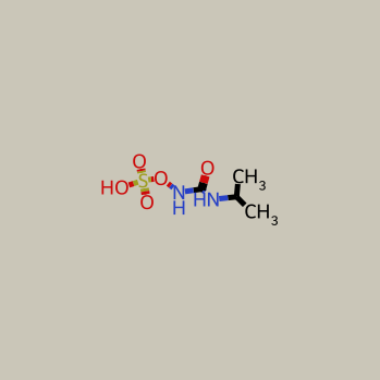 CC(C)NC(=O)NOS(=O)(=O)O